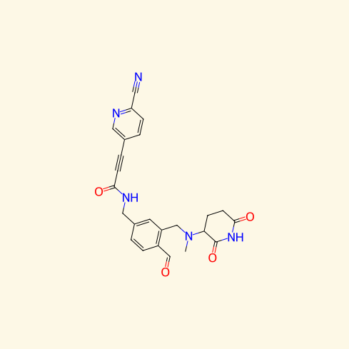 CN(Cc1cc(CNC(=O)C#Cc2ccc(C#N)nc2)ccc1C=O)C1CCC(=O)NC1=O